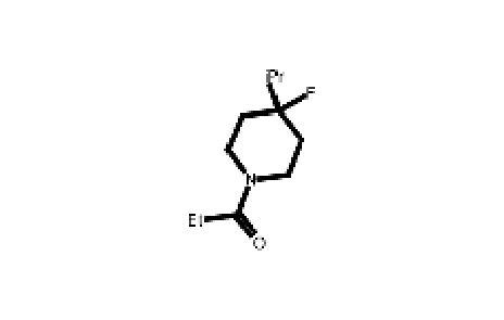 CCC(=O)N1CCC(F)(C(C)C)CC1